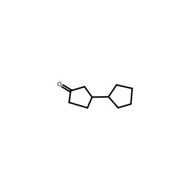 O=C1CCC(C2CCCC2)C1